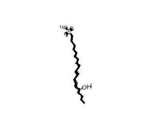 CCCC[C@@H](O)C=CCCCCCCCCCCCCS(=O)(=O)O